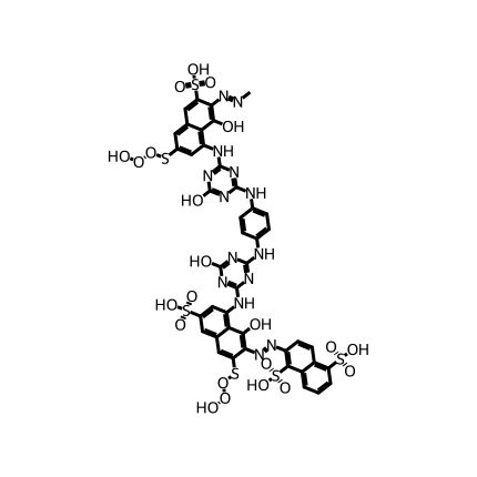 CN=Nc1c(S(=O)(=O)O)cc2cc(SOOO)cc(Nc3nc(O)nc(Nc4ccc(Nc5nc(O)nc(Nc6cc(S(=O)(=O)O)cc7cc(SOOO)c(N=Nc8ccc9c(S(=O)(=O)O)cccc9c8S(=O)(=O)O)c(O)c67)n5)cc4)n3)c2c1O